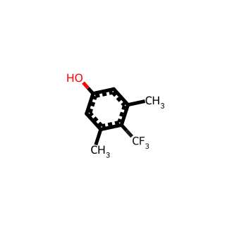 Cc1cc(O)cc(C)c1C(F)(F)F